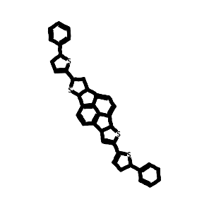 C1=CC(C2CC=C(C3=CC4c5ccc6c7c(ccc(c57)C4S3)C3CC(C4=CCC(c5ccccc5)S4)SC63)S2)=CCC1